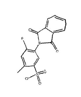 Cc1cc(F)c(N2C(=O)c3ccccc3C2=O)cc1S(=O)(=O)Cl